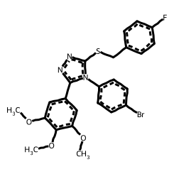 COc1cc(-c2nnc(SCc3ccc(F)cc3)n2-c2ccc(Br)cc2)cc(OC)c1OC